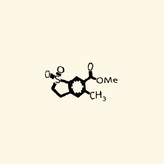 COC(=O)c1cc2c(cc1C)CCS2(=O)=O